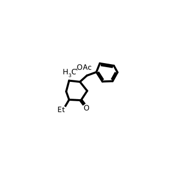 CCC1CCC(Cc2ccccc2)CC1=O.COC(C)=O